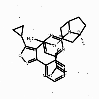 COC(=O)c1cc(C)nc(N2C3CC[C@H]2C[C@H](OCc2c(-c4ccccc4C)noc2C2CC2)C3)n1